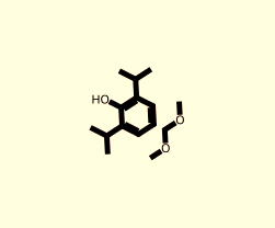 CC(C)c1cccc(C(C)C)c1O.COCOC